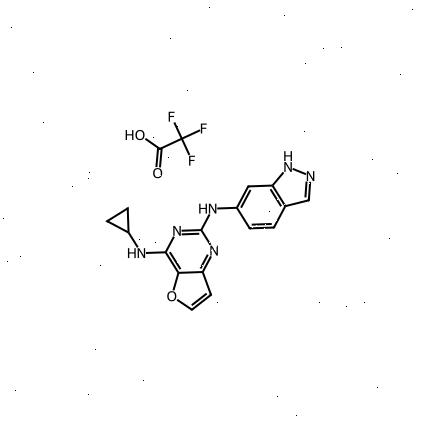 O=C(O)C(F)(F)F.c1cc2nc(Nc3ccc4cn[nH]c4c3)nc(NC3CC3)c2o1